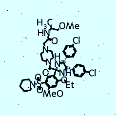 CCOc1cc(OC)c(S(=O)(=O)N2CCCCC2)cc1C1(C(=O)N2CCN(CC(=O)NC(C)COC)CC2)N[C@H](c2ccc(Cl)cc2)[C@H](c2ccc(Cl)cc2)N1